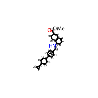 COC(=O)C1=Cc2cccc(NCC34CCC(c5ccc(C6CC6)cc5)(CC3)CC4)c2CC1